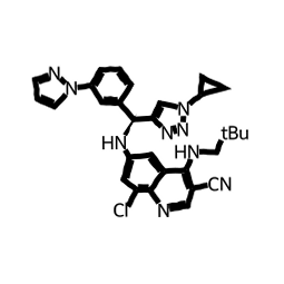 CC(C)(C)CNc1c(C#N)cnc2c(Cl)cc(N[C@@H](c3cccc(-n4cccn4)c3)c3cn(C4CC4)nn3)cc12